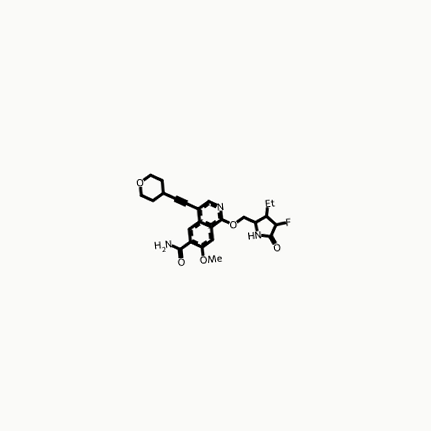 CCC1C(COc2ncc(C#CC3CCOCC3)c3cc(C(N)=O)c(OC)cc23)NC(=O)C1F